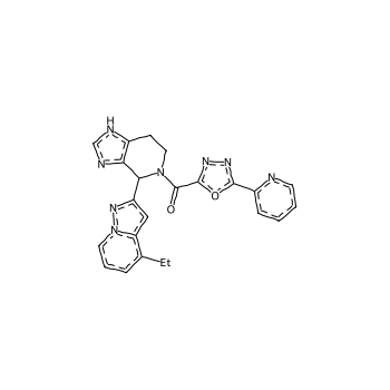 CCc1cccn2nc(C3c4nc[nH]c4CCN3C(=O)c3nnc(-c4ccccn4)o3)cc12